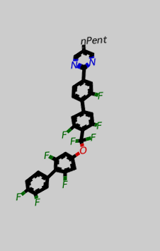 CCCCCc1cnc(-c2ccc(-c3cc(F)c(C(F)(F)Oc4cc(F)c(-c5ccc(F)c(F)c5)c(F)c4)c(F)c3)c(F)c2)nc1